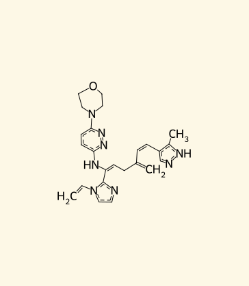 C=Cn1ccnc1/C(=C\CC(=C)/C=C\c1cn[nH]c1C)Nc1ccc(N2CCOCC2)nn1